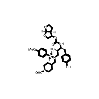 COc1ccc(S(=O)(=O)N(CC2CCN(C=O)CC2)C[C@@H](O)[C@H](Cc2ccc(O)cc2)NC(=O)OC2CO[C@H]3OCC[C@@H]23)cc1